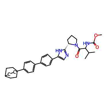 COC(=O)NC(C(=O)N1CCC[C@H]1c1ncc(-c2ccc(-c3ccc(C45CCC(CC4)CC5)cc3)cc2)[nH]1)C(C)C